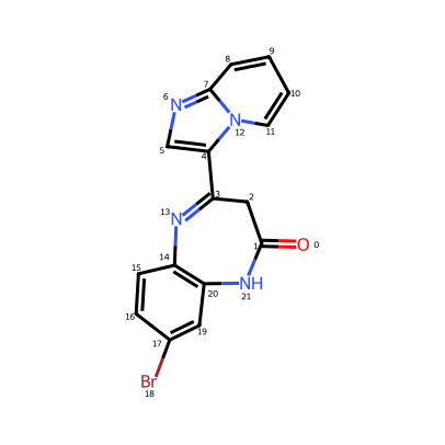 O=C1CC(c2cnc3ccccn23)=Nc2ccc(Br)cc2N1